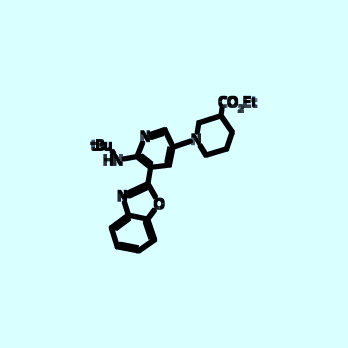 CCOC(=O)C1CCCN(c2cnc(NC(C)(C)C)c(-c3nc4ccccc4o3)c2)C1